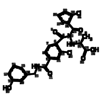 C[C@H](NN(C(=O)c1ccc(C(=O)NCc2cccc(O)c2)cc1Cl)C(=O)c1sccc1Cl)C(=O)O